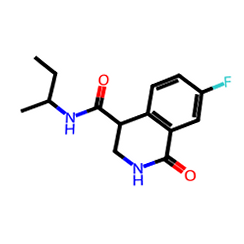 CCC(C)NC(=O)C1CNC(=O)c2cc(F)ccc21